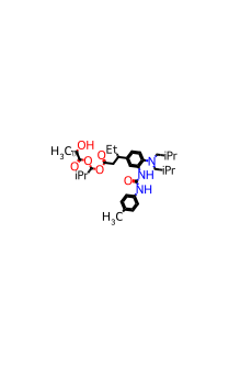 CCC(CC(=O)OC(OC(=O)[C@H](C)O)C(C)C)c1ccc(N(CC(C)C)CC(C)C)c(NC(=O)Nc2ccc(C)cc2)c1